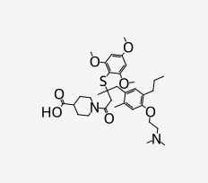 CCCc1cc(CC(C)(CC(=O)N2CCC(C(=O)O)CC2)Sc2c(OC)cc(OC)cc2OC)c(C)cc1OCCN(C)C